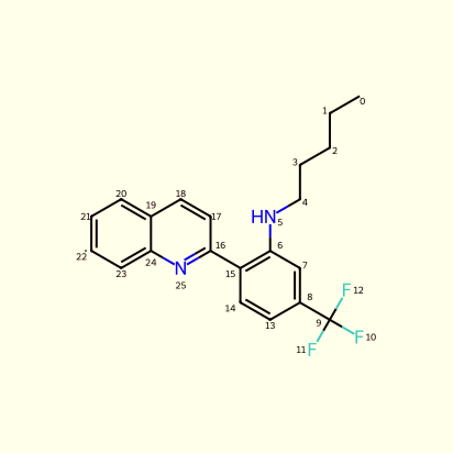 CCCCCNc1cc(C(F)(F)F)ccc1-c1ccc2cc[c]cc2n1